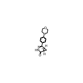 O=C1NN=C(c2ccc(N3CCOCC3)cc2)[C@H]2C[C@@H]12